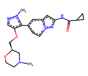 CN1CCO[C@@H](COc2cnn(C)c2-c2ccn3nc(NC(=O)C4CC4)cc3c2)C1